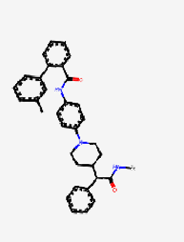 CCNC(=O)C(c1ccccc1)C1CCN(c2ccc(NC(=O)c3ccccc3-c3cccc(C)c3)cc2)CC1